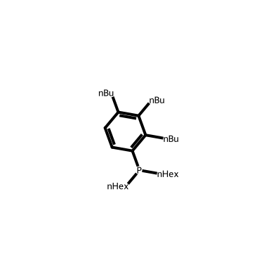 CCCCCCP(CCCCCC)c1ccc(CCCC)c(CCCC)c1CCCC